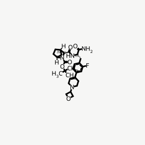 CC(C)(C)OC(=O)N1[C@@H]2CC[C@@H](C2)[C@H]1C(=O)N[C@@H](Cc1ccc(C2=CCN(C3COC3)CC2)cc1F)C(N)=O